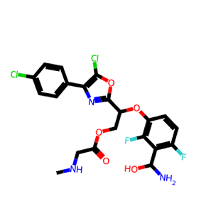 CNCC(=O)OCC(Oc1ccc(F)c(C(N)O)c1F)c1nc(-c2ccc(Cl)cc2)c(Cl)o1